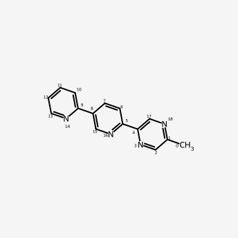 Cc1cnc(-c2ccc(-c3ccccn3)cn2)cn1